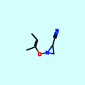 CC=C(C)ON1CC1C#N